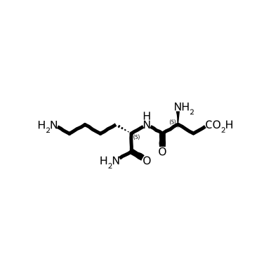 NCCCC[C@H](NC(=O)[C@@H](N)CC(=O)O)C(N)=O